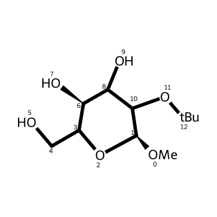 CO[C@H]1OC(CO)[C@@H](O)C(O)C1OC(C)(C)C